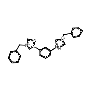 c1ccc(C[n+]2cnn(-c3cccc(-n4c[n+](Cc5ccccc5)cn4)c3)c2)cc1